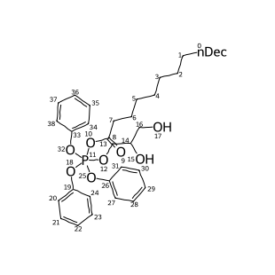 CCCCCCCCCCCCCCCCCC(=O)OP(OCC(O)CO)(Oc1ccccc1)(Oc1ccccc1)Oc1ccccc1